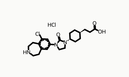 Cl.O=C(O)CC[C@H]1CC[C@H](N2CCN(c3cc(Cl)c4c(c3)CCNCC4)C2=O)CC1